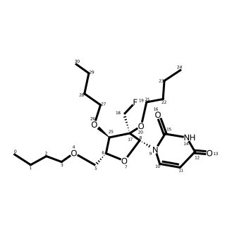 CCCCOC[C@H]1O[C@@H](n2ccc(=O)[nH]c2=O)[C@](CF)(OCCCC)[C@@H]1OCCCC